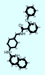 O=C(NCC1CCC(Nc2ccc3ccccc3n2)CC1)c1cccnc1Oc1ccccc1